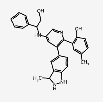 Cc1ccc(O)c(-c2ncc(NC(CO)c3ccccc3)cc2-c2ccc3c(c2)C(C)NN3)c1